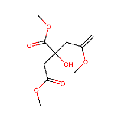 C=C(CC(O)(CC(=O)OC)C(=O)OC)OC